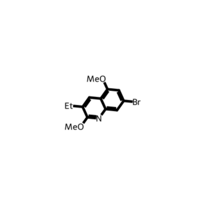 CCc1cc2c(OC)cc(Br)cc2nc1OC